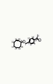 O=C(I)c1ccc(COC2/C=C\CCCCC2)cc1